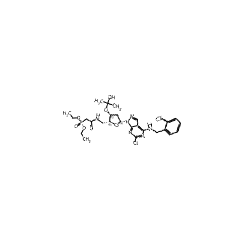 CCOP(=O)(CC(=O)NC[C@H]1O[C@@H](n2ncc3c(NCc4ccccc4Cl)nc(Cl)nc32)C[C@@H]1OC(C)(C)O)OCC